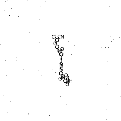 N#Cc1ccc(O[C@H]2CC[C@H](N3Cc4cc(C#CC5CN(C6CN(c7ccc8c(c7)C(=O)N(C7CCC(=O)NC7=O)C8=O)C6)C5)ccc4C3=O)CC2)cc1Cl